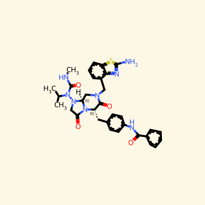 CNC(=O)N(C(C)C)N1CC(=O)N2[C@@H](Cc3ccc(NC(=O)c4ccccc4)cc3)C(=O)N(Cc3cccc4sc(N)nc34)C[C@@H]21